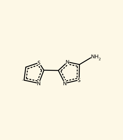 Nc1nc(-c2n[c]cs2)ns1